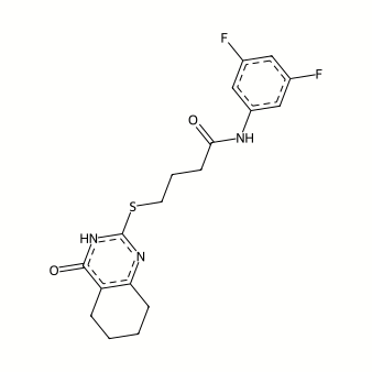 O=C(CCCSc1nc2c(c(=O)[nH]1)CCCC2)Nc1cc(F)cc(F)c1